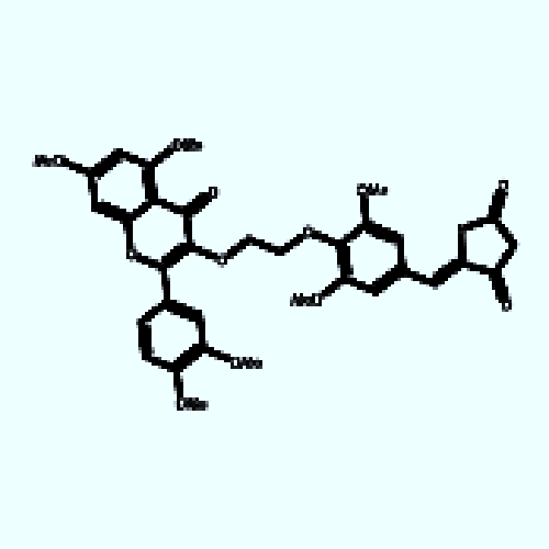 COc1cc(OC)c2c(=O)c(OCCOc3c(OC)cc(/C=C4\SC(=O)CC4=O)cc3OC)c(-c3ccc(OC)c(OC)c3)oc2c1